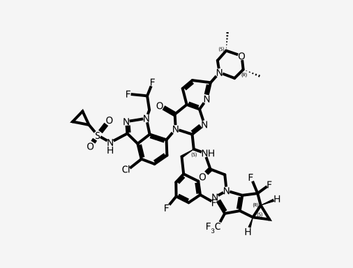 C[C@@H]1CN(c2ccc3c(=O)n(-c4ccc(Cl)c5c(NS(=O)(=O)C6CC6)nn(CC(F)F)c45)c([C@H](Cc4cc(F)cc(F)c4)NC(=O)Cn4nc(C(F)(F)F)c5c4C(F)(F)[C@@H]4C[C@H]54)nc3n2)C[C@H](C)O1